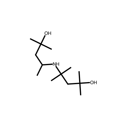 CC(CC(C)(C)O)NC(C)(C)CC(C)(C)O